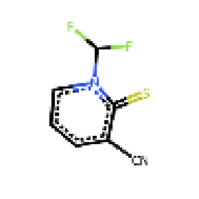 N#Cc1cccn(C(F)F)c1=S